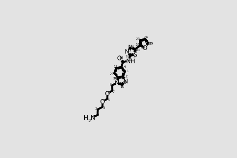 NCCCOCOCCn1cnc2cc(C(=O)Nc3nnc(-c4ccco4)s3)ccc21